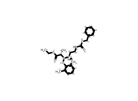 CCOC(=O)[C@H](C)N(Oc1c(C)cccc1C)[PH](=O)CCNC(=O)OCc1ccccc1